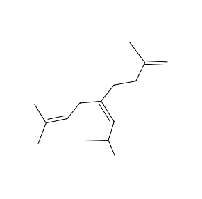 C=C(C)CCC(=CC(C)C)CC=C(C)C